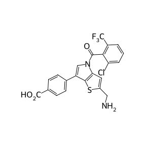 NCc1cc2c(s1)c(-c1ccc(C(=O)O)cc1)cn2C(=O)c1c(Cl)cccc1C(F)(F)F